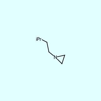 CC(C)CCN1CC1